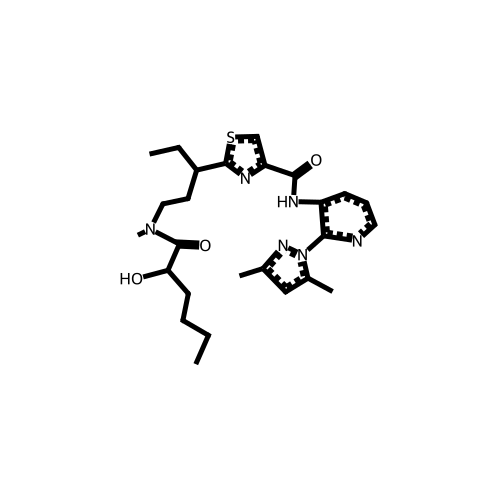 CCCCC(O)C(=O)N(C)CCC(CC)c1nc(C(=O)Nc2cccnc2-n2nc(C)cc2C)cs1